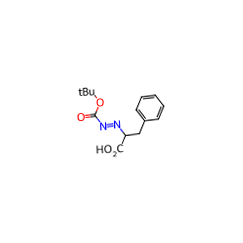 CC(C)(C)OC(=O)N=NC(Cc1ccccc1)C(=O)O